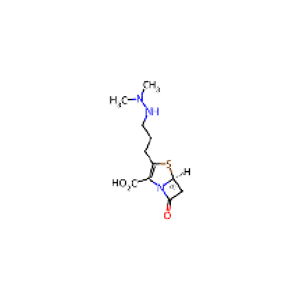 CN(C)NCCCC1=C(C(=O)O)N2C(=O)C[C@@H]2S1